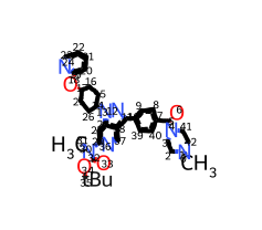 CN1CCN(C(=O)c2ccc(-c3nn([C@H]4CC[C@H](Oc5ccccn5)CC4)c4cc(N(C)C(=O)OC(C)(C)C)ncc34)cc2)CC1